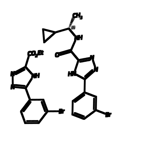 CCOC(=O)c1nnc(-c2cccc(Br)c2)[nH]1.C[C@H](NC(=O)c1nnc(-c2cccc(Br)c2)[nH]1)C1CC1